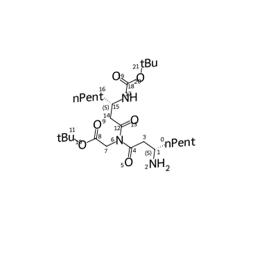 CCCCC[C@H](N)CC(=O)N(CC(=O)OC(C)(C)C)C(=O)C[C@H](CCCCC)NC(=O)OC(C)(C)C